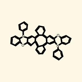 c1ccc(-n2c3ccccc3oc3cc4c5ccccc5c5cc6c(cc5c5ccccc5c4cc32)oc2ccccc2n6-c2ccccc2)cc1